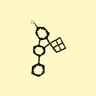 Clc1ccc2c(c1)-c1ccc(-c3ccccc3)cc1C21C2CC3CC4CC1C342